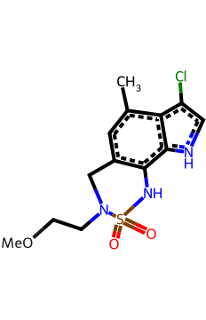 COCCN1Cc2cc(C)c3c(Cl)c[nH]c3c2NS1(=O)=O